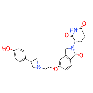 O=C1CCC(N2Cc3cc(OCCN4CC(c5ccc(O)cc5)C4)ccc3C2=O)C(=O)N1